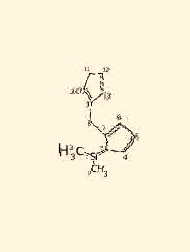 C[Si](C)=C1C=CC=C1CC1=[C]CC=C1